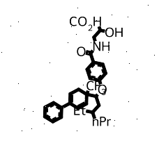 CCCC(CC)CC(Oc1ccc(C(=O)NCC(O)C(=O)O)cc1)C1(C(F)(F)F)C=CC(c2ccccc2)=CC1